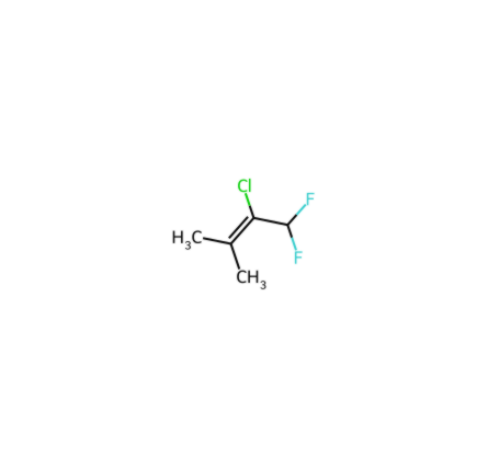 CC(C)=C(Cl)C(F)F